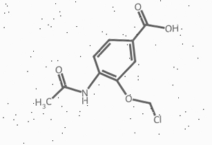 CC(=O)Nc1ccc(C(=O)O)cc1OCCl